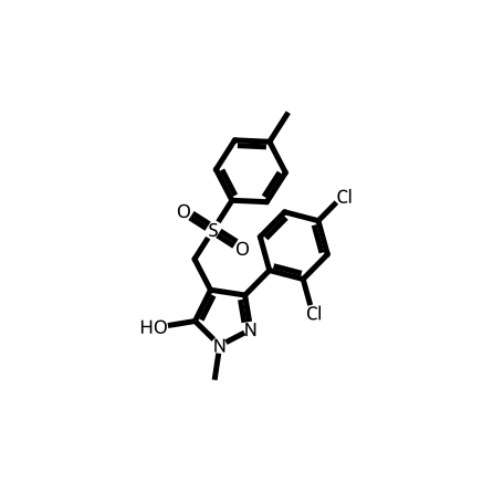 Cc1ccc(S(=O)(=O)Cc2c(-c3ccc(Cl)cc3Cl)nn(C)c2O)cc1